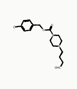 O=[C]CCCN1CCN(C(=O)OCc2ccc(Cl)cc2)CC1